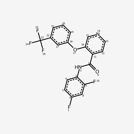 O=C(Nc1ccc(F)cc1F)c1ccncc1Oc1cccc(C(F)(F)F)c1